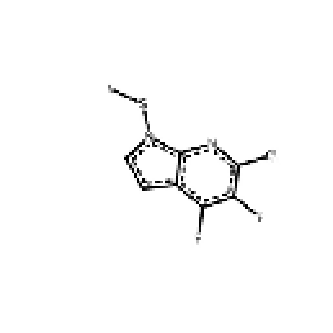 Fc1c(Cl)nc2c(ccn2SI)c1F